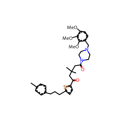 COc1ccc(CN2CCN(C(=O)CC(C)(C)CC(=O)c3ccc(CCCc4ccc(C)cc4)s3)CC2)c(OC)c1OC